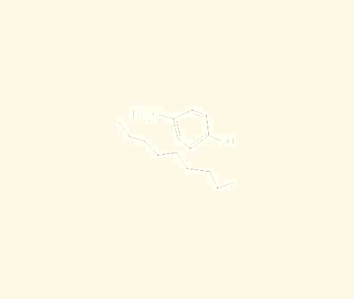 CCCCCCCCC.O=C(O)c1ccc(O)cc1